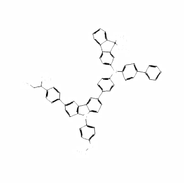 CC(C)CC(c1ccc(-c2ccc3c(c2)c2cc(-c4ccc(N(c5ccc(-c6ccccc6)cc5)c5ccc6c(c5)C(C)(C)c5ccccc5-6)cc4)ccc2n3-c2ccc(OC(C)(C)C)cc2)cc1)C(C)(C)C